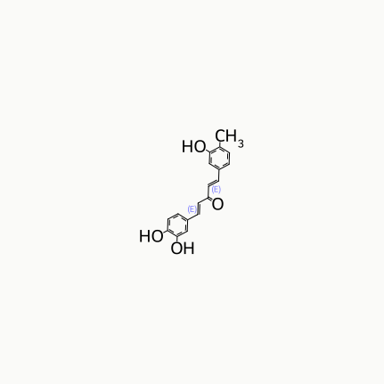 Cc1ccc(/C=C/C(=O)/C=C/c2ccc(O)c(O)c2)cc1O